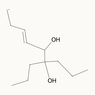 [CH2]C/C=C/C(O)C(O)(CCC)CCC